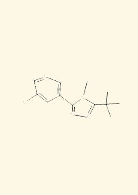 Cn1c(-c2cncc(N)c2)nnc1C(C)(C)C